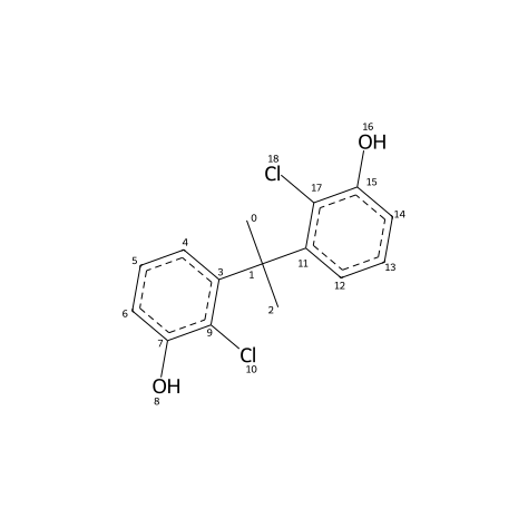 CC(C)(c1cccc(O)c1Cl)c1cccc(O)c1Cl